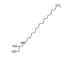 CCCCCCCCCCCCCCCCNCC(O)CO